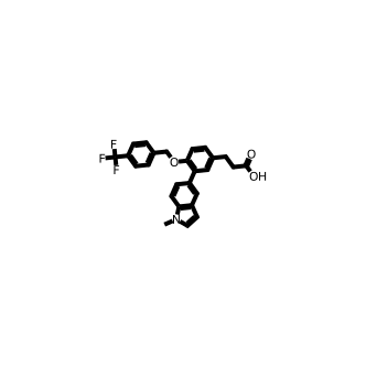 Cn1ccc2cc(-c3cc(CCC(=O)O)ccc3OCc3ccc(C(F)(F)F)cc3)ccc21